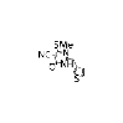 CSc1nc(Cc2ccsc2)[nH]c(=O)c1C#N